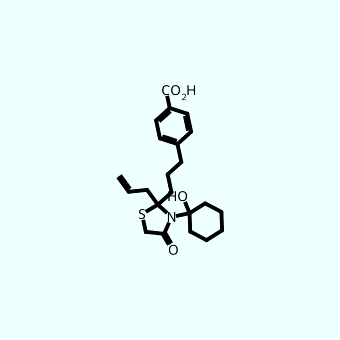 C=CCC1(CCCc2ccc(C(=O)O)cc2)SCC(=O)N1C1(O)CCCCC1